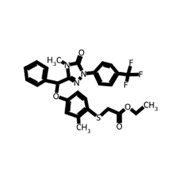 CCOC(=O)CSc1ccc(OC(c2ccccc2)c2nn(-c3ccc(C(F)(F)F)cc3)c(=O)n2C)cc1C